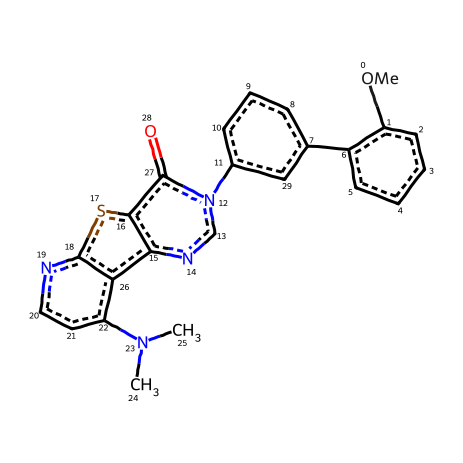 COc1ccccc1-c1cccc(-n2cnc3c(sc4nccc(N(C)C)c43)c2=O)c1